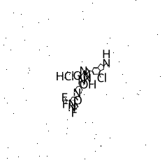 CNC1Cc2cc(-c3cnc4c(=O)n(CC5(O)CCN(C(=O)CC(C(F)F)n6ccc(F)n6)CC5)cnn34)cc(Cl)c2C1.Cl